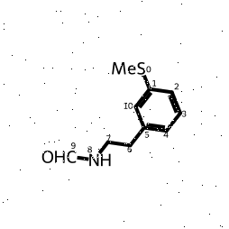 CSc1cccc(CCNC=O)c1